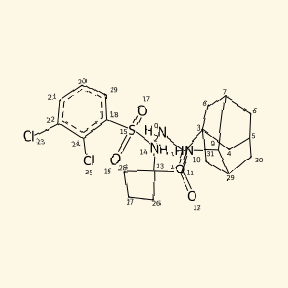 NC(=O)C12CC3CC(C1)C(NC(=O)C1(NS(=O)(=O)c4cccc(Cl)c4Cl)CCC1)C(C3)C2